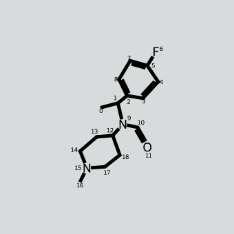 CC(c1ccc(F)cc1)N(C=O)C1CCN(C)CC1